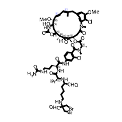 COc1cc2cc(c1Cl)N(C)C(=O)C[C@H](OC(=O)[C@H](C)N(C)C(=O)c1ccc(NC(=O)[C@H](CCCNC(N)=O)NC(=O)[C@@H](NC(C=O)CCCCNC(C=O)(CBr)CBr)C(C)C)cc1Cl)[C@]1(C)O[C@H]1[C@H](C)[C@@H]1C[C@@](O)(NC(=O)O1)[C@H](OC)/C=C/C=C(\C)C2